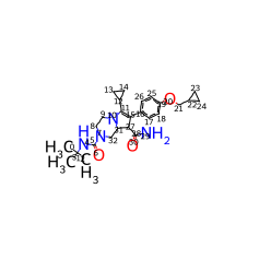 CC(C)(C)NC(=O)N1CCN2C(C3CC3)=C(c3ccc(OCC4CC4)cc3)C(C(N)=O)C2C1